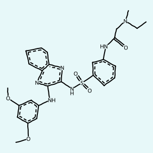 CCN(C)CC(=O)Nc1cccc(S(=O)(=O)Nc2nc3ccccc3nc2Nc2cc(OC)cc(OC)c2)c1